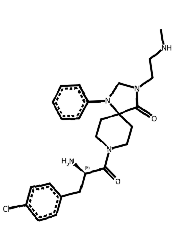 CNCCN1CN(c2ccccc2)C2(CCN(C(=O)[C@H](N)Cc3ccc(Cl)cc3)CC2)C1=O